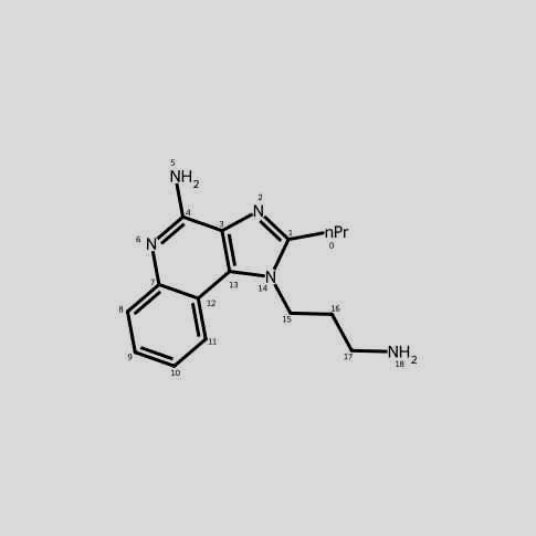 CCCc1nc2c(N)nc3ccccc3c2n1CCCN